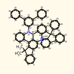 CC1(C)c2ccccc2-c2cc3c4c(c21)-c1ccccc1N(c1cc(-c2ccccc2)cc(-c2ccccc2)c1)B4c1cccc(C2(c4ccccc4)c4ccccc4-c4ccccc42)c1N3